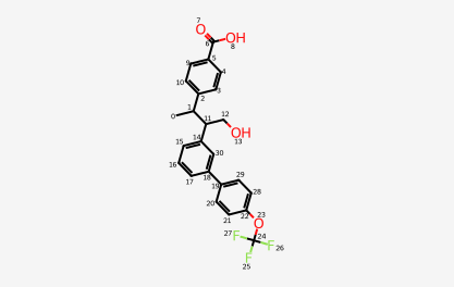 CC(c1ccc(C(=O)O)cc1)C(CO)c1cccc(-c2ccc(OC(F)(F)F)cc2)c1